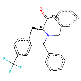 CC(=O)[C@H](Cc1ccc(C(F)(F)F)cc1)N(Cc1ccccc1)Cc1ccccc1